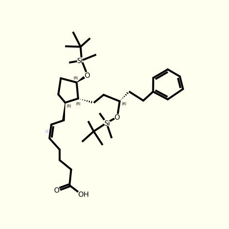 CC(C)(C)[Si](C)(C)O[C@@H](CCc1ccccc1)CC[C@@H]1[C@@H](C/C=C\CCCC(=O)O)CC[C@H]1O[Si](C)(C)C(C)(C)C